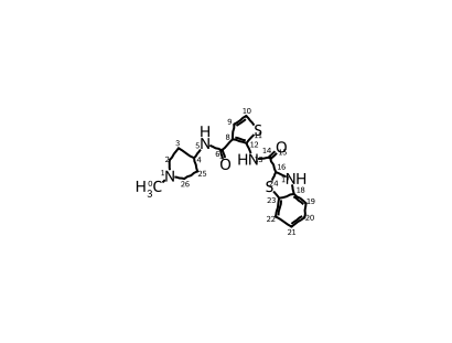 CN1CCC(NC(=O)c2ccsc2NC(=O)C2Nc3ccccc3S2)CC1